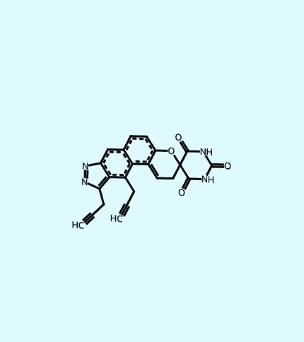 C#CCC1=c2c(cc3ccc4c(c3c2CC#C)=CCC2(O4)C(=O)NC(=O)NC2=O)N=N1